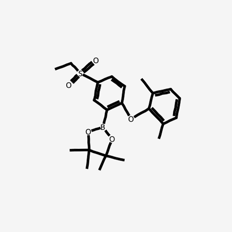 CCS(=O)(=O)c1ccc(Oc2c(C)cccc2C)c(B2OC(C)(C)C(C)(C)O2)c1